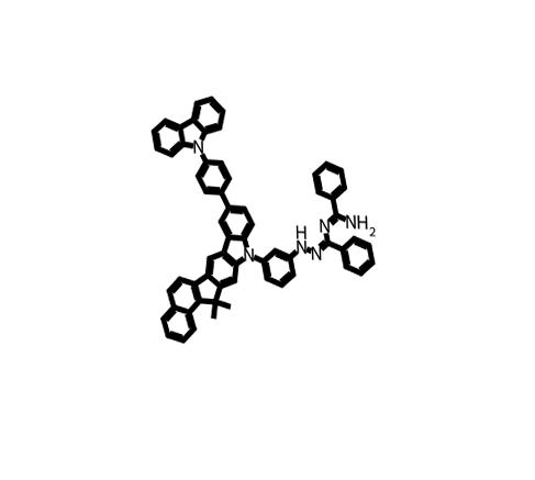 CC1(C)c2cc3c(cc2-c2ccc4ccccc4c21)c1cc(-c2ccc(-n4c5ccccc5c5ccccc54)cc2)ccc1n3-c1cccc(N/N=C(\N=C(/N)c2ccccc2)c2ccccc2)c1